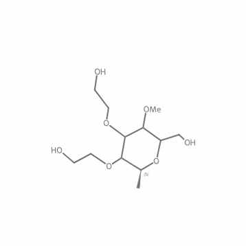 COC1C(CO)O[C@@H](C)C(OCCO)C1OCCO